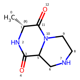 C[C@H]1NC(=O)C2CNCCN2C1=O